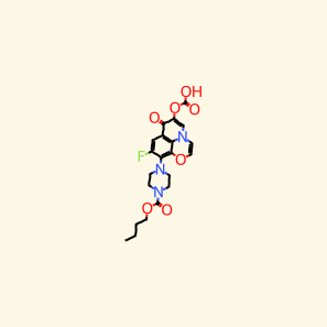 CCCCOC(=O)N1CCN(c2c(F)cc3c(=O)c(OC(=O)O)cn4c3c2OC=C4)CC1